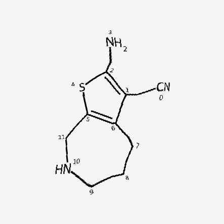 N#Cc1c(N)sc2c1CCCNC2